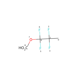 CC(F)(F)C(F)(F)OC(=O)O